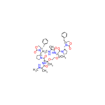 CN[C@@H](C)C(=O)N[C@H](C(=O)N1CCC[C@H]1CN1C(=O)OC[C@@H]1Cc1ccccc1)[C@@H](C)OCCO[C@H](C)[C@H](NC(=O)[C@H](C)NC)C(=O)N1CCC[C@H]1CN1C(=O)OC[C@@H]1Cc1ccccc1